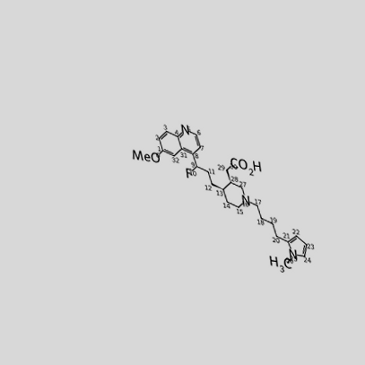 COc1ccc2nccc(C(F)CC[C@@H]3CCN(CCCCc4cccn4C)C[C@@H]3CC(=O)O)c2c1